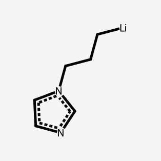 [Li][CH2]CCn1ccnc1